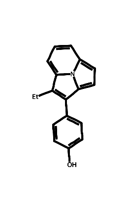 CCc1c(-c2ccc(O)cc2)c2ccc3cccc1n32